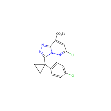 CCOC(=O)c1cc(Cl)nn2c(C3(c4ccc(Cl)cc4)CC3)nnc12